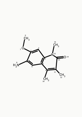 COc1cc2c(cc1N)c(C)c(C)c(=O)n2C